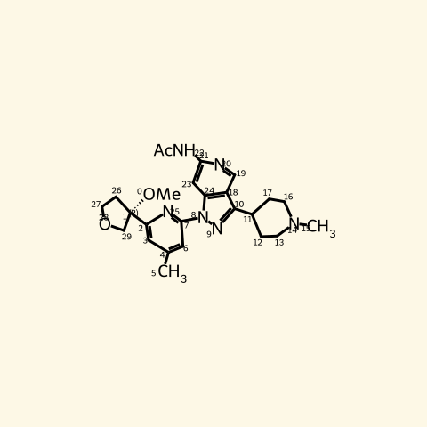 CO[C@@]1(c2cc(C)cc(-n3nc(C4CCN(C)CC4)c4cnc(NC(C)=O)cc43)n2)CCOC1